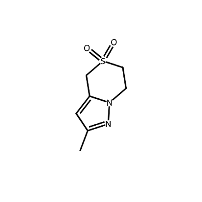 Cc1cc2n(n1)CCS(=O)(=O)C2